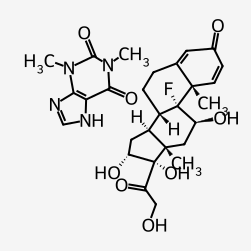 C[C@]12C=CC(=O)C=C1CC[C@H]1[C@@H]3C[C@@H](O)[C@](O)(C(=O)CO)[C@@]3(C)C[C@H](O)[C@@]12F.Cn1c(=O)c2[nH]cnc2n(C)c1=O